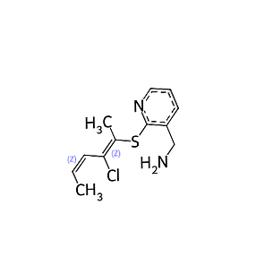 C/C=C\C(Cl)=C(/C)Sc1ncccc1CN